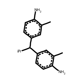 Cc1cc(C(c2ccc(N)c(C)c2)C(C)C)ccc1N